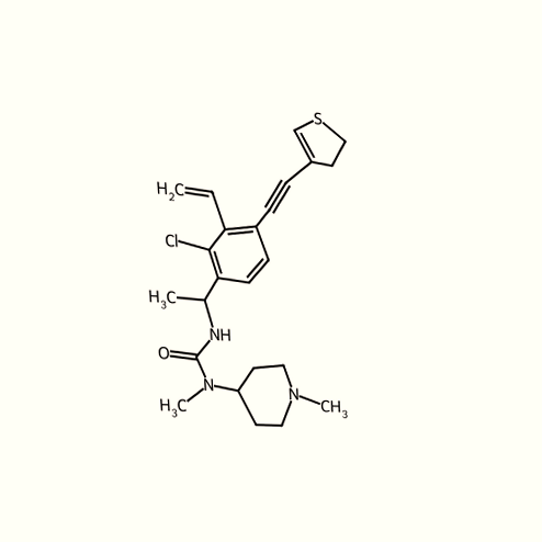 C=Cc1c(C#CC2=CSCC2)ccc(C(C)NC(=O)N(C)C2CCN(C)CC2)c1Cl